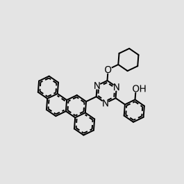 Oc1ccccc1-c1nc(OC2CCCCC2)nc(-c2cc3c4ccccc4ccc3c3ccccc23)n1